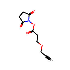 C#CCOCCC(=O)ON1C(=O)CCC1=O